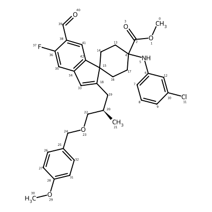 COC(=O)C1(Nc2cccc(Cl)c2)CCC2(CC1)C(C[C@@H](C)COCc1ccc(OC)cc1)=Cc1cc(F)c(C=O)cc12